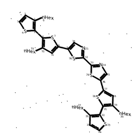 CCCCCCc1ccsc1-c1sc(-c2cnc(-c3ncc(-c4cc(CCCCCC)c(-c5sccc5CCCCCC)s4)s3)s2)cc1CCCCCC